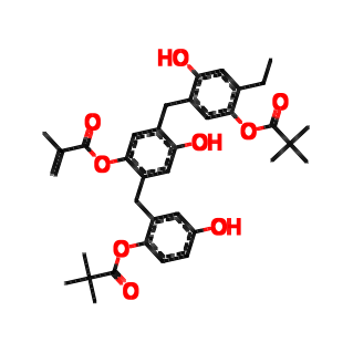 C=C(C)C(=O)Oc1cc(Cc2cc(OC(=O)C(C)(C)C)c(CC)cc2O)c(O)cc1Cc1cc(O)ccc1OC(=O)C(C)(C)C